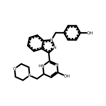 OC1=CC(CN2CCOCC2)NC(c2nn(Cc3ccc(O)cc3)c3ccccc23)=N1